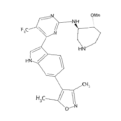 CO[C@@H]1CCNC[C@H]1Nc1ncc(C(F)(F)F)c(-c2c[nH]c3cc(-c4c(C)noc4C)ccc23)n1